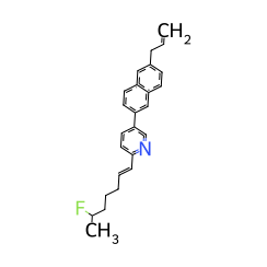 C=CCc1ccc2cc(-c3ccc(/C=C/CCCC(C)F)nc3)ccc2c1